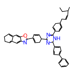 CCC(C)/C=C\CC1=C=CC(C2=NC(C3C=CC(c4nc5cc6c(cc5o4)=CCCC=6)=CC3)=NC(c3ccc(-c4ccccc4)cc3)N2)=CC1